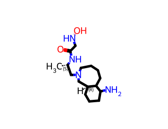 C[C@@H](CN1CCCCC2C(N)CCC[C@H]2C1)NC(=O)CNO